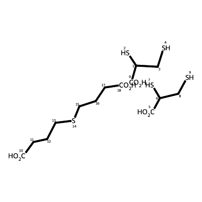 O=C(O)C(S)CS.O=C(O)C(S)CS.O=C(O)CCCSCCCC(=O)O